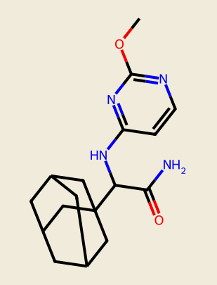 COc1nccc(NC(C(N)=O)C23CC4CC(CC(C4)C2)C3)n1